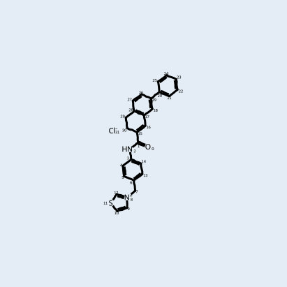 O=C(Nc1ccc(C[n+]2ccsc2)cc1)C1=Cc2cc(-c3ccccc3)ccc2CC1.[Cl-]